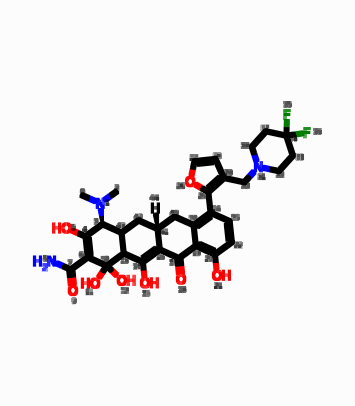 CN(C)[C@@H]1C(O)=C(C(N)=O)C(O)(O)C2C(O)=C3C(=O)c4c(O)ccc(-c5occc5CN5CCC(F)(F)CC5)c4C[C@H]3CC21